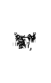 Cn1cc(-c2cc(CNS(=O)(=O)c3cc(Cl)sc3Cl)ccc2Oc2ccc(F)cc2F)c2cc[nH]c(=O)c21